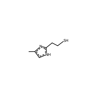 Cc1c[nH]c(CCS)n1